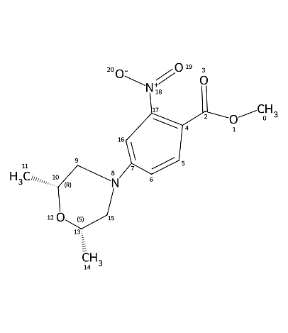 COC(=O)c1ccc(N2C[C@@H](C)O[C@@H](C)C2)cc1[N+](=O)[O-]